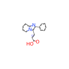 O=C(O)/C=C/c1c(-c2ccccc2)nc2ccccn12